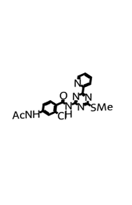 CSc1nc(NC(=O)c2ccc(NC(C)=O)cc2Cl)nc(-c2ccccn2)n1